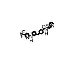 O=C(Nc1cc2ncccc2s1)C1CCC(=Cc2cccc(Nc3ccc(C(F)(F)F)cn3)c2)CC1